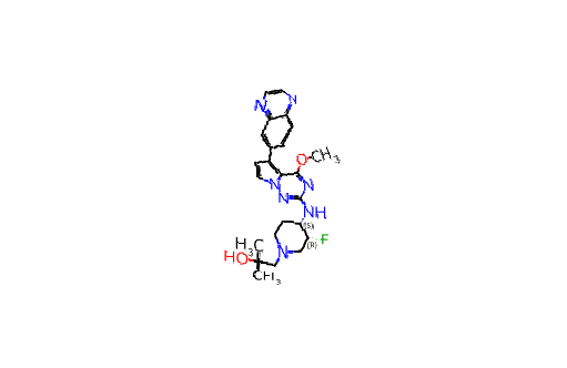 COc1nc(N[C@H]2CCN(CC(C)(C)O)C[C@H]2F)nn2ccc(-c3ccc4nccnc4c3)c12